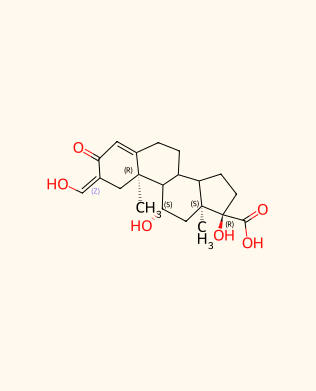 C[C@]12C/C(=C/O)C(=O)C=C1CCC1C2[C@@H](O)C[C@@]2(C)C1CC[C@]2(O)C(=O)O